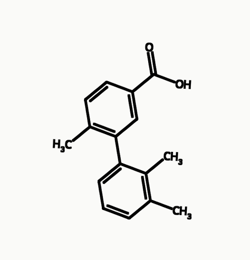 Cc1ccc(C(=O)O)cc1-c1cccc(C)c1C